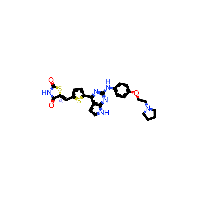 O=C1NC(=O)/C(=C/c2ccc(-c3nc(Nc4ccc(OCCN5CCCC5)cc4)nc4[nH]ccc34)s2)S1